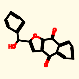 O=C1c2ccccc2C(=O)c2oc(C(O)c3ccccc3)cc21